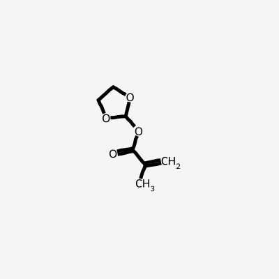 C=C(C)C(=O)OC1OCCO1